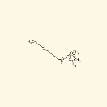 CCCCCCCCCCCCCC(=O)SCC[Si](OC)(OC)OC